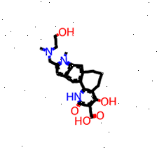 CN(CCO)Cc1cc2cc3c(cc2n1C)CCCc1c-3[nH]c(=O)c(C(=O)O)c1O